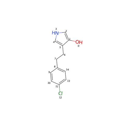 Oc1c[nH]cc1CCc1ccc(Cl)cc1